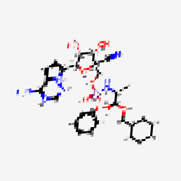 C[C@H](N[P@](=O)(OC[C@@]1(C#N)O[C@@H](c2ccc3c(N)ncnn23)[C@H](O)[C@@H]1O)Oc1ccccc1)C(=O)OCC1CCCCC1